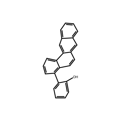 Oc1ccccc1-c1cccc2c1ccc1cc3ccccc3cc12